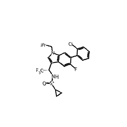 CC(C)Cn1cc([C@H](N[S+]([O-])C2CC2)C(F)(F)F)c2cc(F)c(-c3ccccc3Cl)cc21